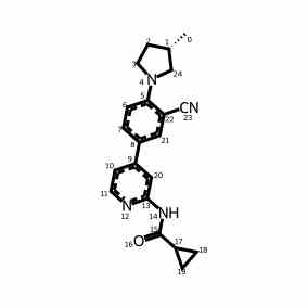 C[C@H]1CCN(c2ccc(-c3ccnc(NC(=O)C4CC4)c3)cc2C#N)C1